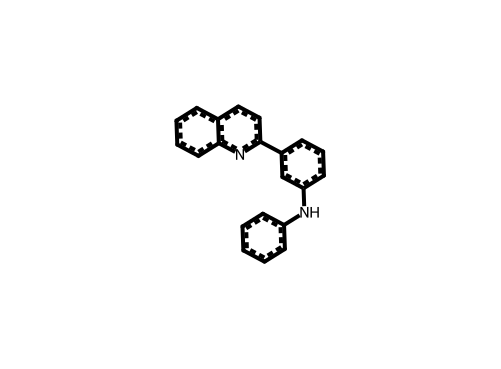 c1ccc(Nc2cccc(-c3ccc4ccccc4n3)c2)cc1